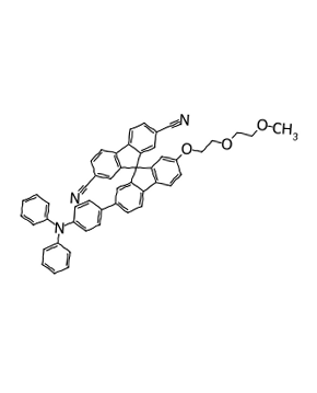 COCCOCCOc1ccc2c(c1)C1(c3cc(C#N)ccc3-c3ccc(C#N)cc31)c1cc(-c3ccc(N(c4ccccc4)c4ccccc4)cc3)ccc1-2